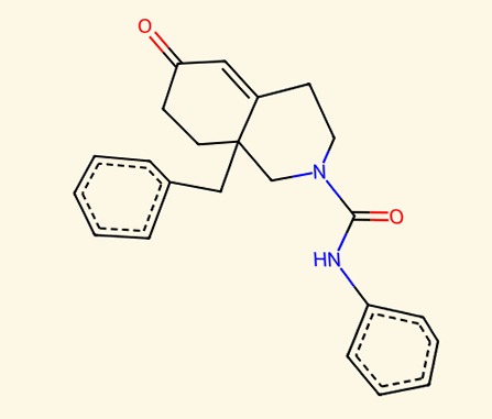 O=C1C=C2CCN(C(=O)Nc3ccccc3)CC2(Cc2ccccc2)CC1